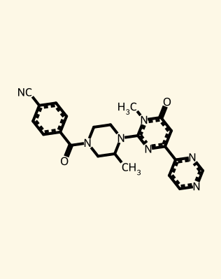 CC1CN(C(=O)c2ccc(C#N)cc2)CCN1c1nc(-c2ccncn2)cc(=O)n1C